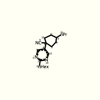 CCCCCCc1ncc(C2(C#N)CCC(CCC)CC2)cn1